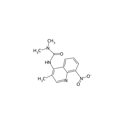 Cc1cnc2c([N+](=O)[O-])cccc2c1NC(=O)N(C)C